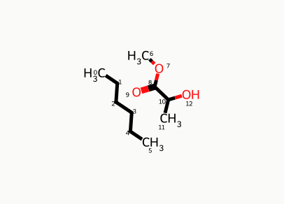 CCCCCC.COC(=O)C(C)O